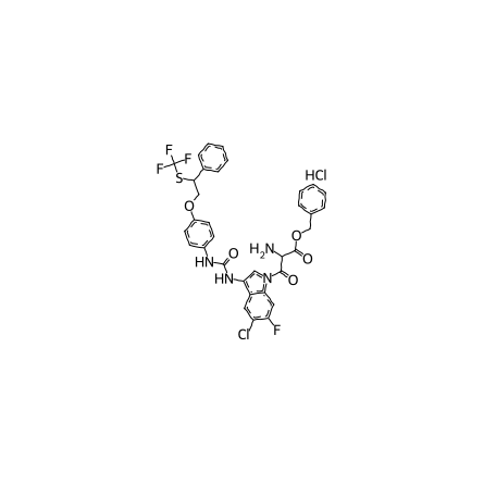 Cl.NC(C(=O)OCc1ccccc1)C(=O)n1cc(NC(=O)Nc2ccc(OCC(SC(F)(F)F)c3ccccc3)cc2)c2cc(Cl)c(F)cc21